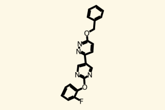 Fc1ccccc1Oc1ncc(-c2ccc(OCc3ccccc3)nn2)cn1